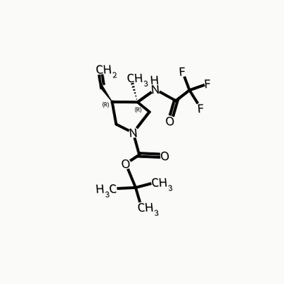 C=C[C@@H]1CN(C(=O)OC(C)(C)C)C[C@]1(C)NC(=O)C(F)(F)F